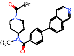 CC(C)C(=O)N1CCC(N(C)C(=O)c2ccc(-c3ccc4cnccc4c3)cc2)CC1